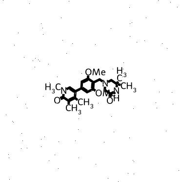 COc1cc(-c2cn(C)c(=O)c(C)c2C)cc(OC)c1CN1CC(=O)NC(C)(C)C1